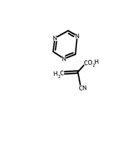 C=C(C#N)C(=O)O.c1ncncn1